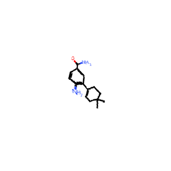 CC1(C)CC=C(c2cc(C(N)=O)ccc2N)CC1